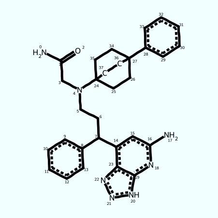 NC(=O)CN(CCC(c1ccccc1)c1cc(N)nc2[nH]nnc12)C12CCC(c3ccccc3)(CC1)CC2